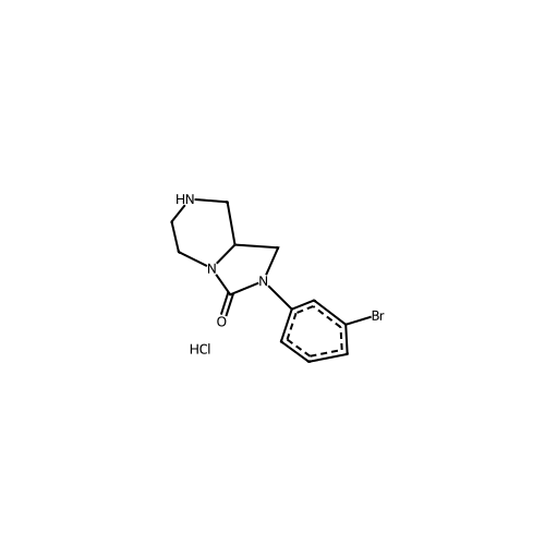 Cl.O=C1N(c2cccc(Br)c2)CC2CNCCN12